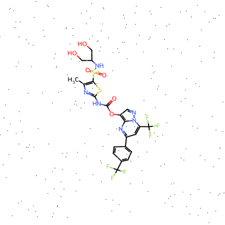 Cc1nc(NC(=O)Oc2cnn3c(C(F)(F)F)cc(-c4ccc(C(F)(F)F)cc4)nc23)sc1S(=O)(=O)NC(CO)CO